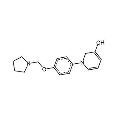 OC1=CC=CN(c2ccc(OCN3CCCC3)cc2)C1